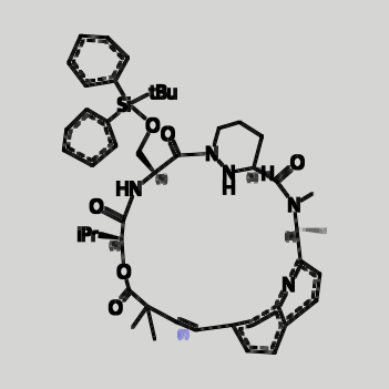 CC(C)[C@@H]1OC(=O)C(C)(C)/C=C/c2ccc3ccc(nc3c2)[C@@H](C)N(C)C(=O)[C@@H]2CCCN(N2)C(=O)[C@H](CO[Si](c2ccccc2)(c2ccccc2)C(C)(C)C)NC1=O